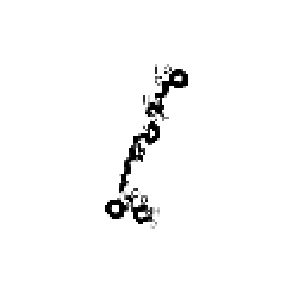 O=C1CCC(n2c(=O)n(CCCCCc3cn(Cc4cccc(N5C[C@H]6C[C@@H]5CN6/C=C/C(=O)c5ccccc5O)n4)nn3)c3ccccc32)C(=O)N1